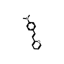 CN(C)c1ccc(/C=C/C2=CCC=CO2)cc1